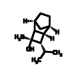 CC(C)[C@H]1[C@H]2C([C@H]3CC[C@@H]2C3)[C@]1(N)O